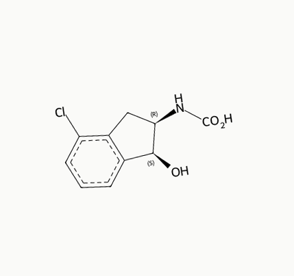 O=C(O)N[C@@H]1Cc2c(Cl)cccc2[C@@H]1O